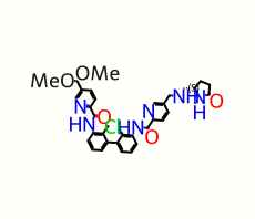 COC(OC)c1ccc(C(=O)Nc2cccc(-c3cccc(NC(=O)c4ccc(CNC[C@@H]5CCC(=O)N5)cn4)c3Cl)c2C)nc1